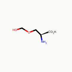 N[C@@H](COCO)C(=O)O